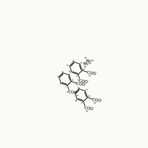 O=C([O-])c1ccccc1C(=O)[O-].O=C([O-])c1ccccc1C(=O)[O-].O=C([O-])c1ccccc1C(=O)[O-].[Rh+3].[Rh+3]